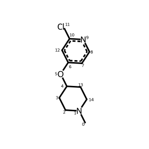 CN1CCC(Oc2ccnc(Cl)c2)CC1